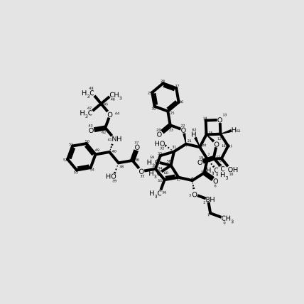 CCBO[C@H]1C(=O)[C@]2(C)C(O)C[C@H]3OC[C@@]3(OC(C)=O)[C@H]2[C@H](OC(=O)c2ccccc2)[C@]2(O)CC(OC(=O)[C@H](O)[C@@H](NC(=O)OC(C)(C)C)c3ccccc3)C(C)=C1C2(C)C